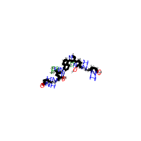 COc1nc(-c2ccnc(-c3cccc4c3CCC[C@H]4Nc3nc(OC)c(CNC[C@H]4CCC(=O)N4)cc3C(F)(F)F)c2Cl)ccc1CNC[C@H]1CCC(=O)N1